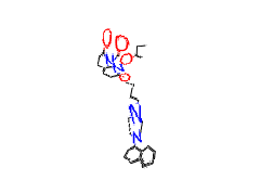 CCC(C)OC(=O)N1C(=O)CCc2ccc(OCCCCN3CCN(c4cccc5ccccc45)CC3)nc21